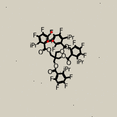 CC(C)c1c(F)c(F)c(F)c(F)c1C(=O)OCC(COC(=O)c1c(F)c(F)c(F)c(F)c1C(C)C)(COC(=O)c1c(F)c(F)c(F)c(F)c1C(C)C)COC(=O)c1c(F)c(F)c(F)c(F)c1C(C)C